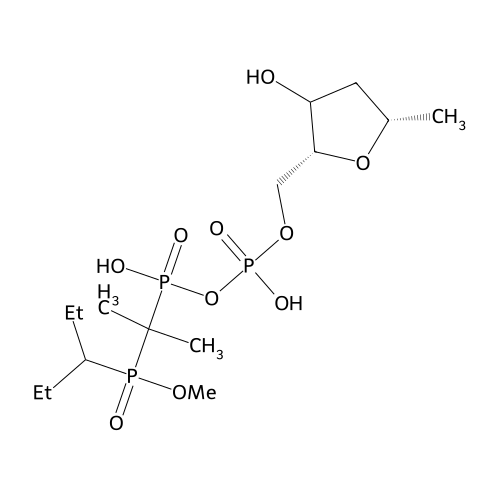 CCC(CC)P(=O)(OC)C(C)(C)P(=O)(O)OP(=O)(O)OC[C@H]1O[C@@H](C)CC1O